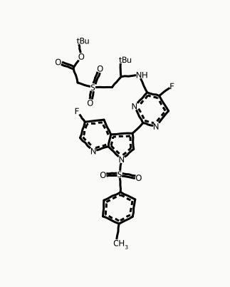 Cc1ccc(S(=O)(=O)n2cc(-c3ncc(F)c(NC(CS(=O)(=O)CC(=O)OC(C)(C)C)C(C)(C)C)n3)c3cc(F)cnc32)cc1